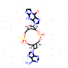 Nc1ncnc2c1ncn2[C@@H]1C[C@@H]2CO[PH](=O)O[C@@H]3[C@H](F)[C@@H](CO[P@@](=O)(S)OC[C@H]21)O[C@H]3n1cnc2c(=O)n3ccnc3[nH]c21